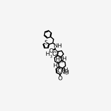 C[C@]12C=CC(=O)N[C@@H]1CC[C@@H]1[C@@H]2CC[C@]2(C)[C@@H](C(=O)NC(Cc3ccccc3)c3cccs3)CC[C@@H]12